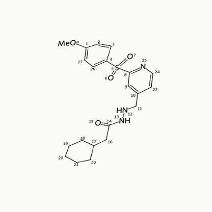 COc1ccc(S(=O)(=O)c2cc(CNNC(=O)CC3CCCCC3)ccn2)cc1